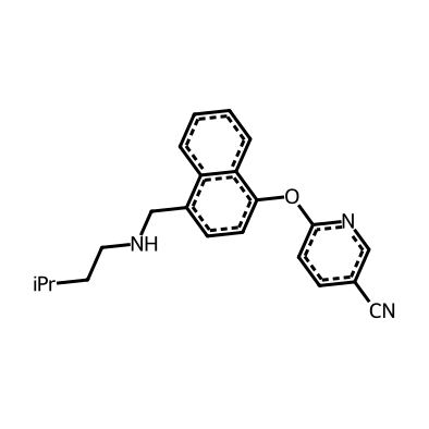 CC(C)CCNCc1ccc(Oc2ccc(C#N)cn2)c2ccccc12